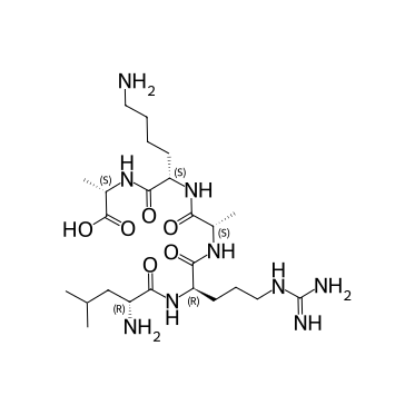 CC(C)C[C@@H](N)C(=O)N[C@H](CCCNC(=N)N)C(=O)N[C@@H](C)C(=O)N[C@@H](CCCCN)C(=O)N[C@@H](C)C(=O)O